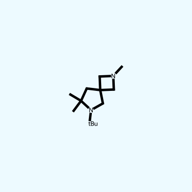 CN1CC2(C1)CN(C(C)(C)C)C(C)(C)C2